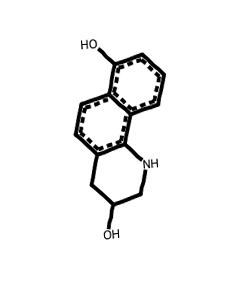 Oc1cccc2c3c(ccc12)CC(O)CN3